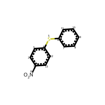 O=[N+]([O-])c1ccc(Sc2ccccc2)cc1